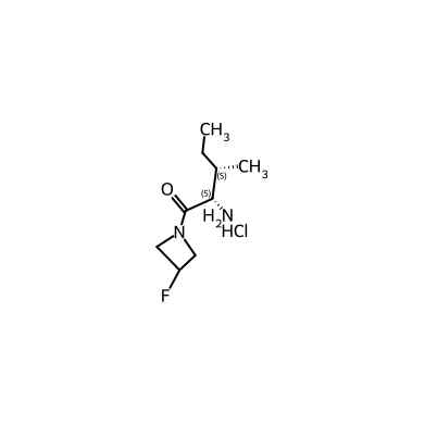 CC[C@H](C)[C@H](N)C(=O)N1CC(F)C1.Cl